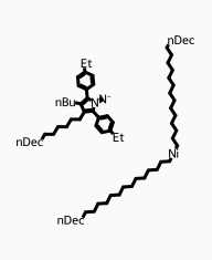 CCCCCCCCCCCCCCCCC1=C(c2ccc(CC)cc2)[N+](=[N-])C(c2ccc(CC)cc2)=C1CCCC.CCCCCCCCCCCCCCCCCCCCCCC[CH2][Ni][CH2]CCCCCCCCCCCCCCCCCCCCCCC